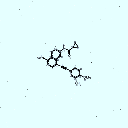 CNc1ncc(C#Cc2cc(C)c(OC)cn2)c2cc(NC(=O)C3CC3)ncc12